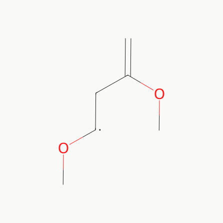 C=C(C[CH]OC)OC